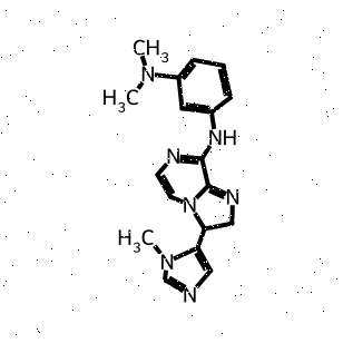 CN(C)c1cccc(NC2=NC=CN3C2=NCC3c2cncn2C)c1